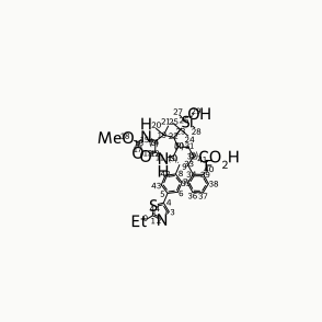 CCc1ncc(-c2ccc(C[C@@H]3NC(=O)[C@@H](NC(=O)OC)C(C)(C)C(C(C)(C)[Si](C)(C)O)[C@H]3C[C@@H](Cc3ccccc3F)C(=O)O)cc2)s1